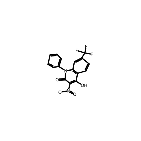 O=c1c([N+](=O)[O-])c(O)c2ccc(C(F)(F)F)cc2n1-c1ccccc1